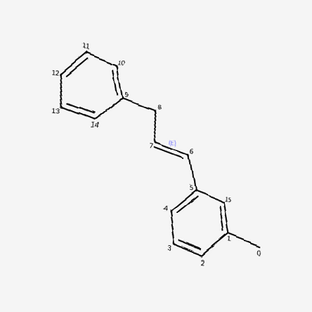 Cc1cccc(/C=C/Cc2ccccc2)c1